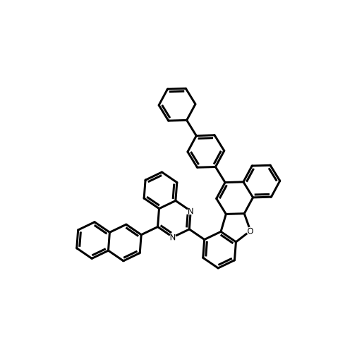 C1=CCC(c2ccc(C3=CC4c5c(cccc5-c5nc(-c6ccc7ccccc7c6)c6ccccc6n5)OC4c4ccccc43)cc2)C=C1